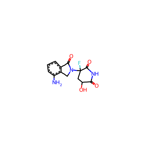 Nc1cccc2c1CN(C1(F)CC(O)C(=O)NC1=O)C2=O